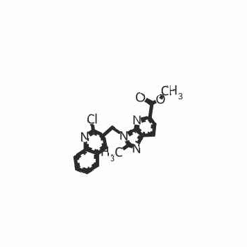 COC(=O)c1ccc2nc(C)n(Cc3cc4ccccc4nc3Cl)c2n1